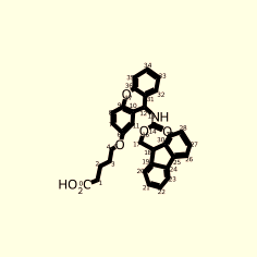 O=C(O)CCCCOc1ccc2c(c1)C(NC(=O)OCC1c3ccccc3-c3ccccc31)c1ccccc1O2